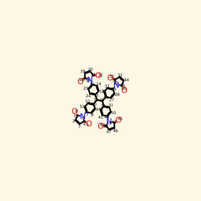 O=C1C=CC(=O)N1c1ccc(C(c2ccc(N3C(=O)C=CC3=O)cc2)C(c2ccc(N3C(=O)C=CC3=O)cc2)c2ccc(N3C(=O)C=CC3=O)cc2)cc1